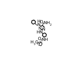 CN1CCC[C@H]1C(=O)Nc1cccc(Nc2ncc(C(N)=O)c(NCc3ccccc3)n2)c1